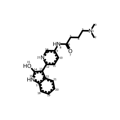 CN(C)CCCC(=O)Nc1ccc(-c2c(O)[nH]c3ccccc23)nc1